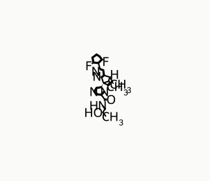 CC(O)CNC(=O)c1cncc([C@]23CC[C@H](c4cc(-c5c(F)cccc5F)nnc42)C3(C)C)n1